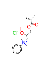 C=C(C)C(=O)OCC(O)C[N+](C)(C)c1ccccc1.[Cl-]